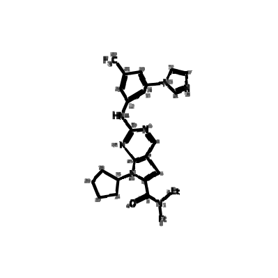 CCN(CC)C(=O)c1cc2cnc(Nc3cc(-n4ccnc4)cc(C(F)(F)F)c3)nc2n1C1CCCC1